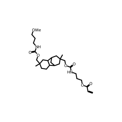 C=CC(=O)OCCCNC(=O)OCC1(C)CC2CC(C1)C1CC(C)(COC(=O)NCCCOC)CCC21